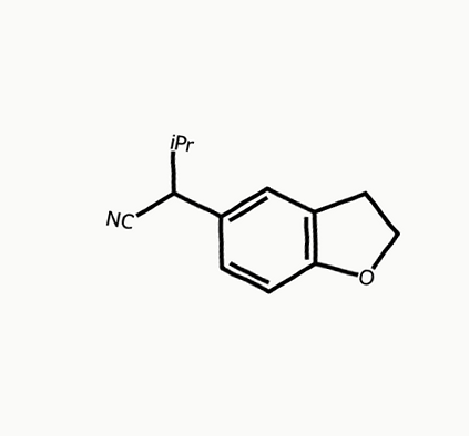 CC(C)C(C#N)c1ccc2c(c1)CCO2